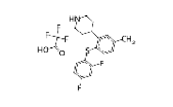 Cc1ccc(Sc2ccc(F)cc2F)c(C2CCNCC2)c1.O=C(O)C(F)(F)F